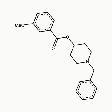 COc1cccc(C(=O)OC2CCN(Cc3ccccc3)CC2)c1